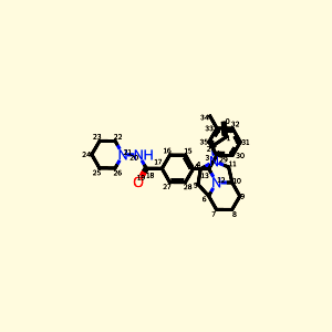 C=CCN1CCC2CCCC(C1)N2C(C1=CCC(C(=O)NN2CCCCC2)C=C1)c1cccc(C)c1